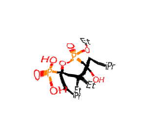 CCOP1(=O)OC(CC(C)C)(P(=O)(O)O)C(CC)(CC)C1(O)CC(C)C